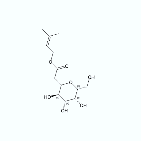 CC(C)=CCOC(=O)CC1O[C@H](CO)[C@H](O)[C@H](O)[C@H]1O